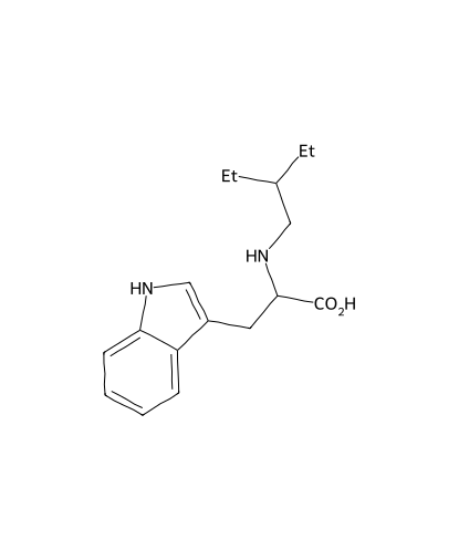 CCC(CC)CNC(Cc1c[nH]c2ccccc12)C(=O)O